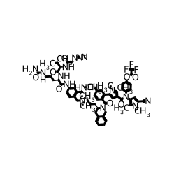 CNCc1cc(NC(=O)[C@@H](CCCNC(N)=O)NC(=O)[C@H](NC(=O)CN=[N+]=[N-])C(C)C)ccc1C[N+](C)(C)CCC[C@@H]1Cc2ccccc2CN1C(=O)c1ccc(Cl)cc1-c1cc(C(=O)N(c2ccc(OC(=O)C(F)(F)F)cc2)c2cc(C#N)n(C)c2C)c(C)n1C